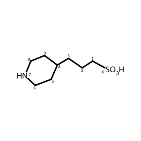 O=S(=O)(O)CCCC1CCNCC1